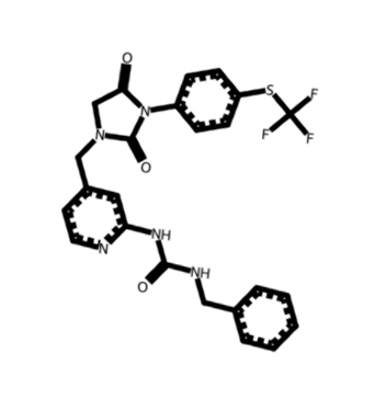 O=C(NCc1ccccc1)Nc1cc(CN2CC(=O)N(c3ccc(SC(F)(F)F)cc3)C2=O)ccn1